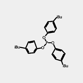 CCC(C)c1ccc(OP(Oc2ccc(C(C)CC)cc2)Oc2ccc(C(C)CC)cc2)cc1